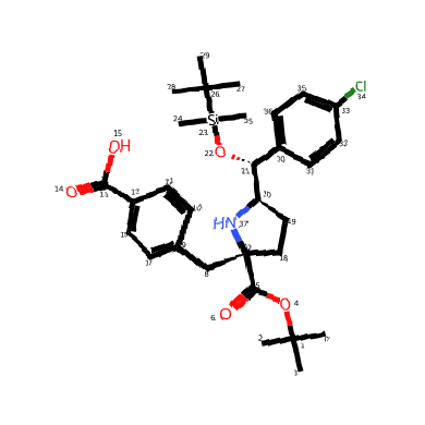 CC(C)(C)OC(=O)[C@@]1(Cc2ccc(C(=O)O)cc2)CC[C@H]([C@H](O[Si](C)(C)C(C)(C)C)c2ccc(Cl)cc2)N1